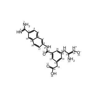 N=C(N)c1ccc2cc(NC(=O)c3cc(CC(=O)O)cc(N/C(N)=[NH+]/[O-])c3)ccc2c1